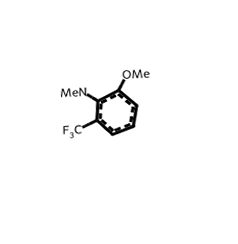 CNc1c(OC)cccc1C(F)(F)F